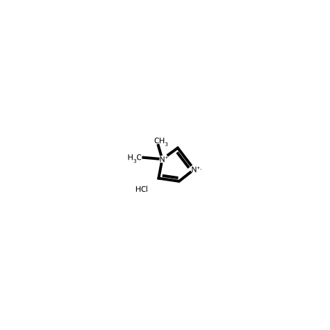 C[N+]1(C)C=C[N+]=C1.Cl